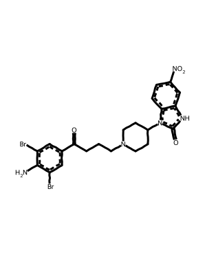 Nc1c(Br)cc(C(=O)CCCN2CCC(n3c(=O)[nH]c4cc([N+](=O)[O-])ccc43)CC2)cc1Br